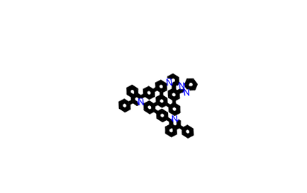 c1ccc(-c2cnc(-c3ccc(-c4ccccc4-c4cc(-c5ccccc5-c5ccc(-c6ncc(-c7ccccc7)c7ccccc67)cc5)cc(-c5ccccc5-c5ccc6c(c5)c5nc7ccccc7n5c5cccnc65)c4)cc3)c3ccccc23)cc1